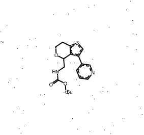 CC(C)(C)OC(=O)NCC1OCCc2scc(-c3cccnc3)c21